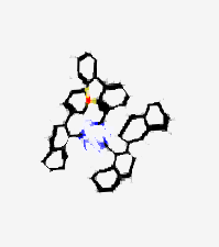 c1ccc(-c2ccc3ccccc3c2-c2nc(-c3c(-c4ccc5ccccc5c4)ccc4ccccc34)nc(-c3cccc4c3sc3ccccc34)n2)cc1